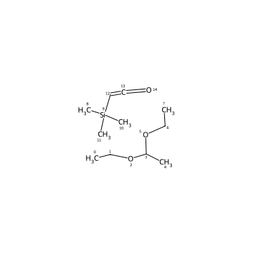 CCOC(C)OCC.C[Si](C)(C)C=C=O